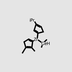 CC1=C(C)[C]([Zr]([C]2=CC(C(C)C)=CC2)[GeH]([CH3])[CH3])=CC1